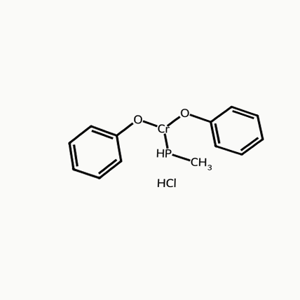 C[PH][Cr]([O]c1ccccc1)[O]c1ccccc1.Cl